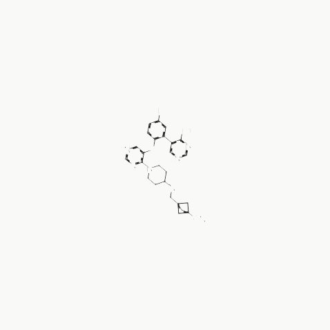 CC(C)c1ncncc1-c1cc(F)ccc1Oc1cncnc1N1CCC(NCC23CC(C#N)(C2)C3)CC1